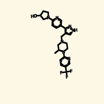 CC1CN(Cc2c[nH]nc2-c2ccc(N3CCC(O)C3)nc2)CCN1c1ccc(C(F)(F)F)cn1